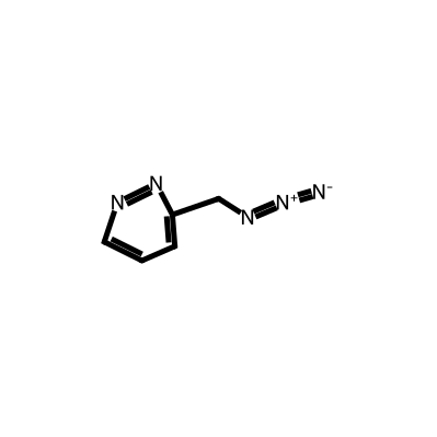 [N-]=[N+]=NCc1cccnn1